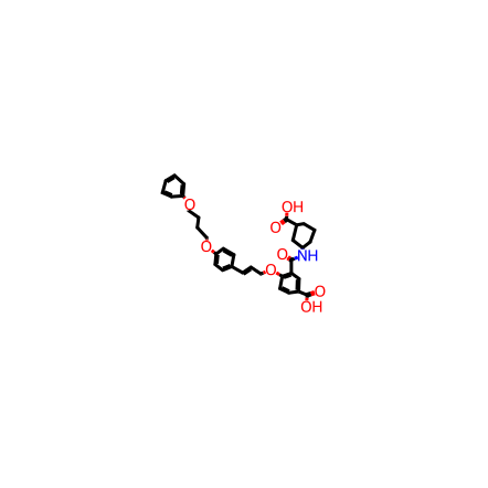 O=C(O)c1ccc(OC/C=C/c2ccc(OCCCCOc3ccccc3)cc2)c(C(=O)NC2CCCC(C(=O)O)C2)c1